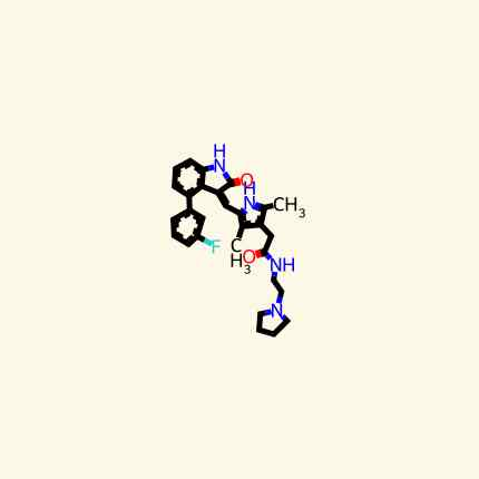 Cc1[nH]c(/C=C2\C(=O)Nc3cccc(-c4cccc(F)c4)c32)c(C)c1CC(=O)NCCN1CCCC1